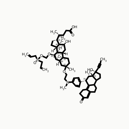 C=CCP(=O)(CC=C)OCO[C@@H]1C[C@@H]2C[C@@](C)(OCCN(C)c3ccc([C@@H]4C[C@@]5(C)C(CC[C@]5(O)C#CC)C5CCC6=CC(=O)CCC6=C54)cc3)CC[C@]2(C)[C@H]2C[C@H](O)[C@]3(C)[C@@H]([C@H](C)CCC(=O)O)CC[C@H]3[C@H]12